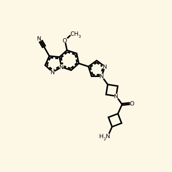 COc1cc(-c2cnn(C3CN(C(=O)C4CC(N)C4)C3)c2)cn2ncc(C#N)c12